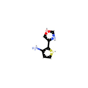 Nc1ccsc1-c1cocn1